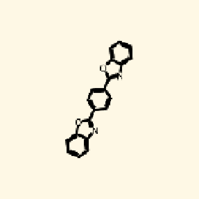 c1ccc2oc(-c3ccc(-c4nc5ccccc5o4)cc3)nc2c1